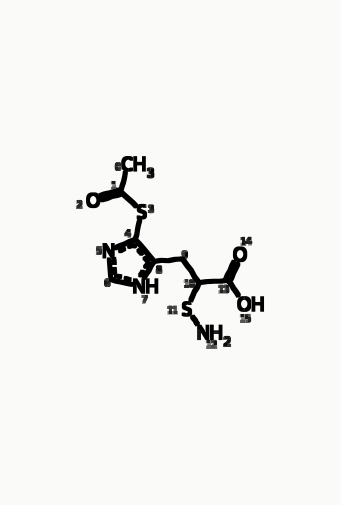 CC(=O)Sc1nc[nH]c1CC(SN)C(=O)O